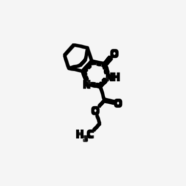 CCOC(=O)c1nc2c(c(=O)[nH]1)C1CCC2CC1